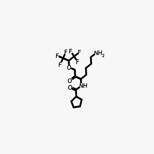 NCCCCC(NC(=O)C1CCCC1)C(=O)COC(C(F)(F)F)C(F)(F)F